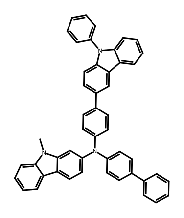 Cn1c2ccccc2c2ccc(N(c3ccc(-c4ccccc4)cc3)c3ccc(-c4ccc5c(c4)c4ccccc4n5-c4ccccc4)cc3)cc21